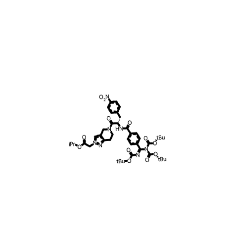 CC(C)OC(=O)Cn1cc2c(n1)CCN(C(=O)[C@H](Cc1ccc([N+](=O)[O-])cc1)NC(=O)c1ccc(C(=NC(=O)OC(C)(C)C)N(C(=O)OC(C)(C)C)C(=O)OC(C)(C)C)cc1)C2